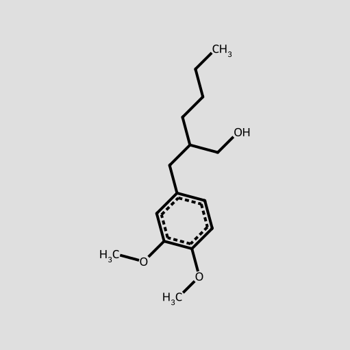 CCCCC(CO)Cc1ccc(OC)c(OC)c1